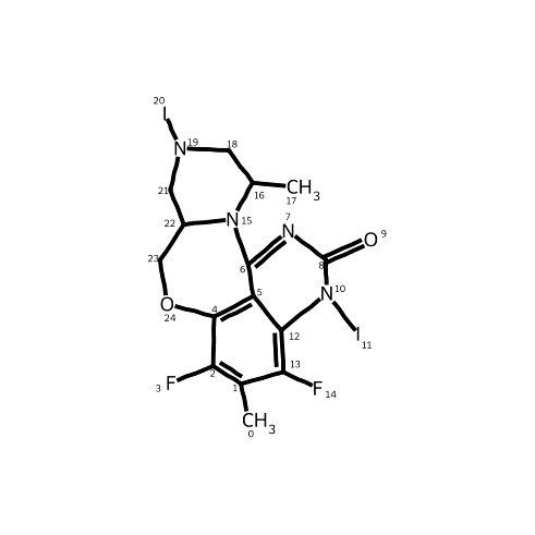 Cc1c(F)c2c3c(nc(=O)n(I)c3c1F)N1C(C)CN(I)CC1CO2